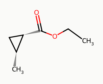 CCOC(=O)[C@H]1C[C@H]1C